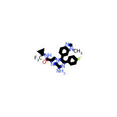 Cn1cnc2ccc(-c3c(-c4ccc(F)cc4)nc(N)c4nc(C(=O)NC5(C(F)(F)F)CC5)cn34)cc21